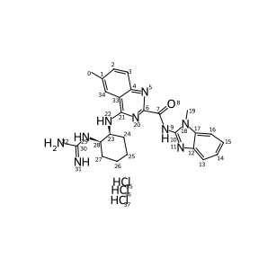 Cc1ccc2nc(C(=O)Nc3nc4ccccc4n3C)nc(N[C@H]3CCCC[C@H]3NC(=N)N)c2c1.Cl.Cl.Cl